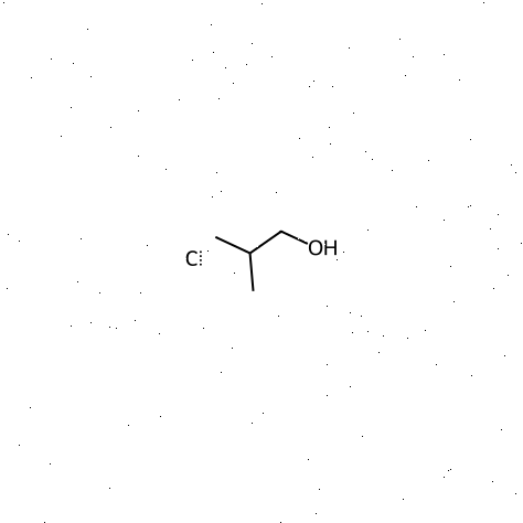 CC(C)CO.[C]